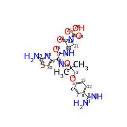 CC(C)(COc1ccc(C(=N)N)cc1)O/N=C(\C(=O)N[C@H]1CN(S(=O)(=O)O)C1=O)c1csc(N)n1